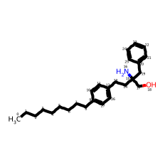 CCCCCCCCCc1ccc(CCC(N)(CO)Cc2ccccc2)cc1